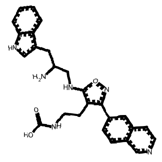 NC(CNc1onc(-c2ccc3cnccc3c2)c1CCNC(=O)O)Cc1c[nH]c2ccccc12